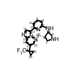 F[C@H]1CNC[C@@H]1Nc1cccc(-c2cnc3cc(C4(C(F)(F)F)CC4)cnn23)n1